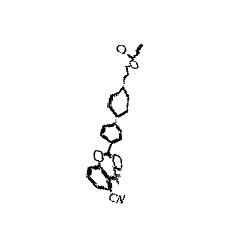 C=CC(=O)OCCC[C@H]1CC[C@H](c2ccc(C(=O)Oc3cccc(C#N)c3F)cc2)CC1